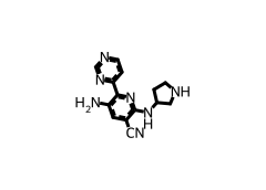 N#Cc1cc(N)c(-c2ccncn2)nc1NC1CCNC1